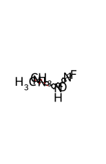 CC(C)N1CCN(c2ccc(-c3ccc4[nH]c(=O)c(-c5ccc(N6CC[C@H](F)C6)cc5)cc4c3)cc2)CC1